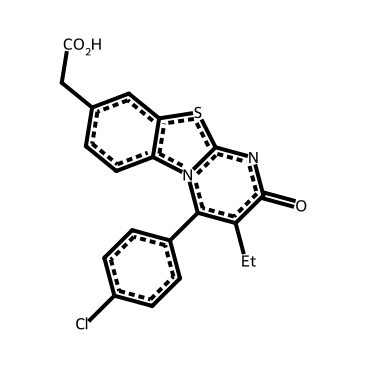 CCc1c(-c2ccc(Cl)cc2)n2c(nc1=O)sc1cc(CC(=O)O)ccc12